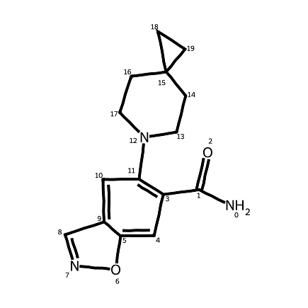 NC(=O)c1cc2oncc2cc1N1CCC2(CC1)CC2